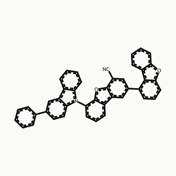 N#Cc1cc(-c2cccc3oc4ccccc4c23)cc2c1oc1c(-n3c4ccccc4c4cc(-c5ccccc5)ccc43)cccc12